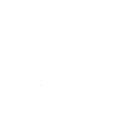 CCCCCCCCCCCCCCCCCCC(=O)Oc1ccccc1